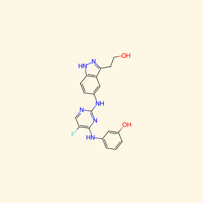 OCCc1n[nH]c2ccc(Nc3ncc(F)c(Nc4cccc(O)c4)n3)cc12